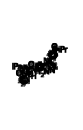 CC(C)C(=O)N1CCC(c2nc(-c3ccc(NC(=O)c4cn(C(C)C)c(=O)n(-c5ccccn5)c4=O)cc3)n3c(N)nccc23)CC1